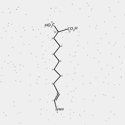 CCCCCCC=CCCCCCCCC(C(=O)O)C(=O)O